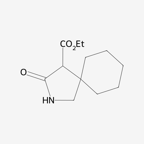 CCOC(=O)C1C(=O)NCC12CCCCC2